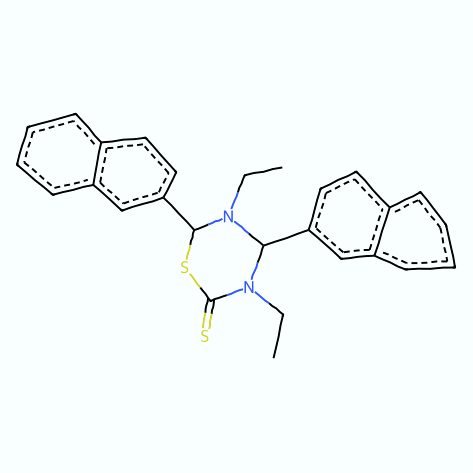 CCN1C(=S)SC(c2ccc3ccccc3c2)N(CC)C1c1ccc2ccccc2c1